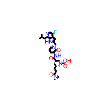 CC(C)Cc1ncc(F)c2cc(Cn3cccc(NC(=O)[C@@H](CC/C=C/C(=O)N(C)C)CN(C)C(=O)O)c3=O)[nH]c12